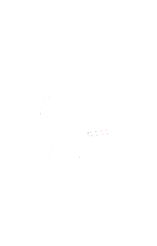 C=CC(=O)OOCC.C=COC=C